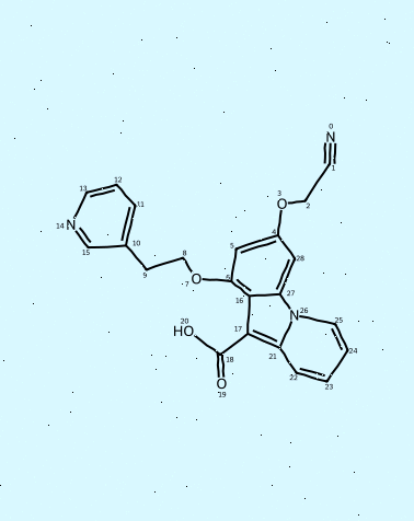 N#CCOc1cc(OCCc2cccnc2)c2c(C(=O)O)c3ccccn3c2c1